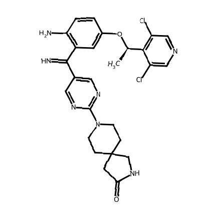 C[C@@H](Oc1ccc(N)c(C(=N)c2cnc(N3CCC4(CC3)CNC(=O)C4)nc2)c1)c1c(Cl)cncc1Cl